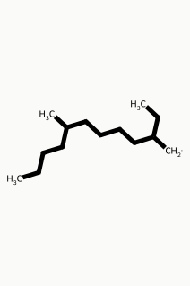 [CH2]C(CC)CCCCC(C)CCCC